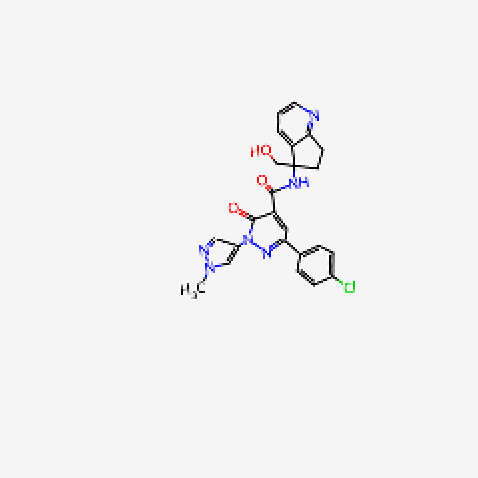 Cn1cc(-n2nc(-c3ccc(Cl)cc3)cc(C(=O)NC3(CO)CCc4ncccc43)c2=O)cn1